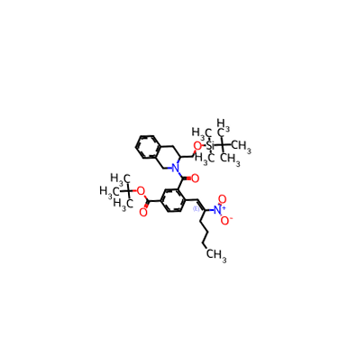 CCCC/C(=C\c1ccc(C(=O)OC(C)(C)C)cc1C(=O)N1Cc2ccccc2CC1CO[Si](C)(C)C(C)(C)C)[N+](=O)[O-]